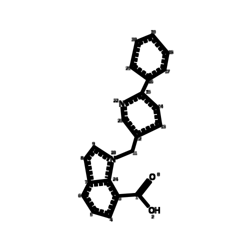 O=C(O)c1cccc2ccn(Cc3ccc(-c4ccccc4)nc3)c12